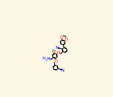 N#Cc1cccc(COc2cc(OCc3cccc(-c4ccc5c(c4)OCCO5)c3C#N)c(Br)cc2CN)c1